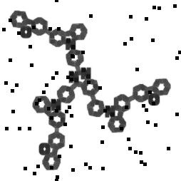 c1cc(-c2ccc3nc(-c4ccc(-n5c6ccccc6c6cc(-c7ccc8c(c7)oc7ccccc78)ccc65)cc4)nc(-c4ccc(-n5c6ccccc6c6cc(-c7ccc8c(c7)oc7ccccc78)ccc65)cc4)c3c2)cc(-n2c3ccccc3c3cc(-c4ccc5c(c4)oc4ccccc45)ccc32)c1